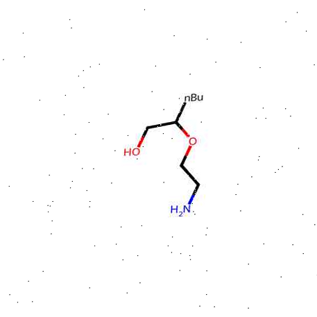 CCCCC(CO)OCCN